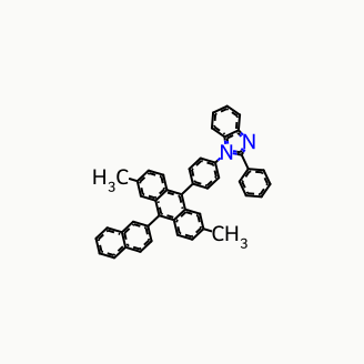 Cc1ccc2c(-c3ccc4ccccc4c3)c3cc(C)ccc3c(-c3ccc(-n4c(-c5ccccc5)nc5ccccc54)cc3)c2c1